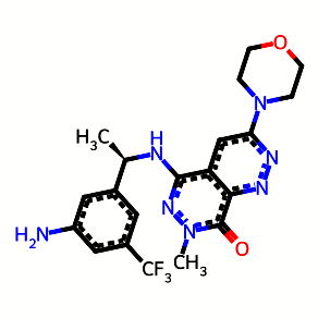 C[C@@H](Nc1nn(C)c(=O)c2nnc(N3CCOCC3)cc12)c1cc(N)cc(C(F)(F)F)c1